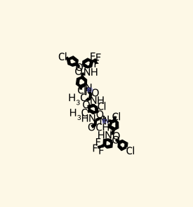 CC(=O)C(Nc1cc(Cl)c(NC(C(C)=O)C(=O)/N=N/c2cc(C(=O)Nc3cc(C(F)(F)F)ccc3Oc3ccc(Cl)cc3)ccc2Cl)cc1C)C(=O)/N=N/c1cc(C(=O)Nc2cc(C(F)(F)F)ccc2Oc2ccc(Cl)cc2)ccc1Cl